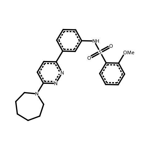 COc1ccccc1S(=O)(=O)Nc1cccc(-c2ccc(N3CCCCCC3)nn2)c1